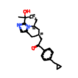 C[C@H]1C[C@@H](CC(=O)c2ccc(C3CC3)cc2)Cc2cnc(C(C)(O)C(F)(F)F)n21